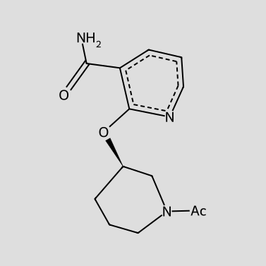 CC(=O)N1CCC[C@@H](Oc2ncccc2C(N)=O)C1